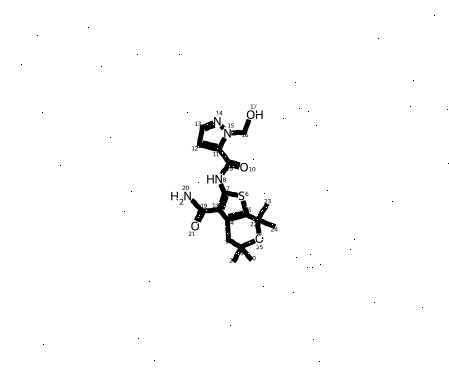 CC1(C)Cc2c(sc(NC(=O)c3ccnn3CO)c2C(N)=O)C(C)(C)O1